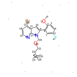 COc1ccc(F)cc1-c1cc2c(Br)ccnc2n1COCC[Si](C)(C)C